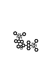 c1ccc(-c2nc(-c3ccccc3)nc(-c3c4ccccc4c(-c4ccc5c(c4)oc4cccc(-c6c7ccccc7c(-c7nc(-c8ccccc8)nc(-c8ccccc8)n7)c7ccccc67)c45)c4ccccc34)n2)cc1